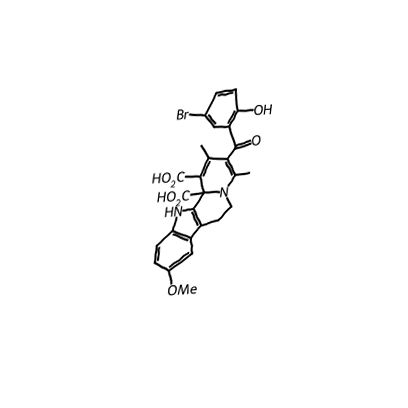 COc1ccc2[nH]c3c(c2c1)CCN1C(C)=C(C(=O)c2cc(Br)ccc2O)C(C)=C(C(=O)O)C31C(=O)O